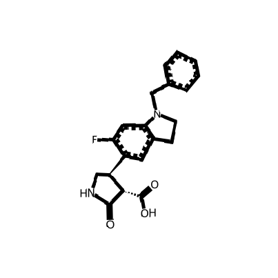 O=C(O)[C@@H]1C(=O)NC[C@H]1c1cc2c(cc1F)N(Cc1ccccc1)CC2